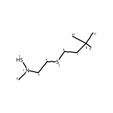 CN(S)CCSCCC(C)(C)C